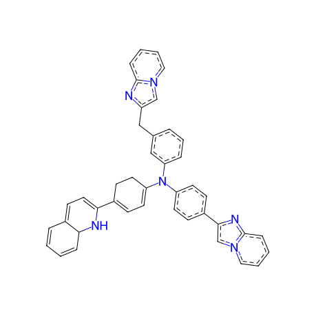 C1=CC2=CC=C(C3=CC=C(N(c4ccc(-c5cn6ccccc6n5)cc4)c4cccc(Cc5cn6ccccc6n5)c4)CC3)NC2C=C1